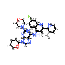 Cc1c(-c2ccccn2)nc2cc(F)ccc2c1Nc1nc(N2CCOCC2)nc2c1ncn2C1CCCCO1